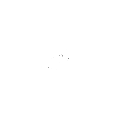 Cc1occc1C(=O)N1CC[C@@]2(C)c3cccc(O)c3C[C@@H]1C2(C)C